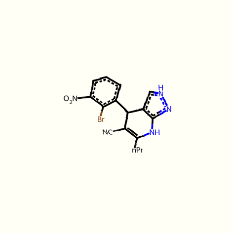 CCCC1=C(C#N)C(c2cccc([N+](=O)[O-])c2Br)c2c[nH]nc2N1